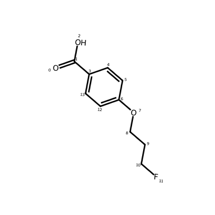 O=C(O)c1ccc(OCCCF)cc1